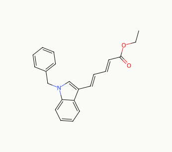 CCOC(=O)/C=C/C=C/c1cn(Cc2ccccc2)c2ccccc12